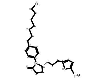 O=C(O)c1ccc(CCC[C@@H]2CCC(=O)N2c2ccc(CCCCCCCO)cc2)s1